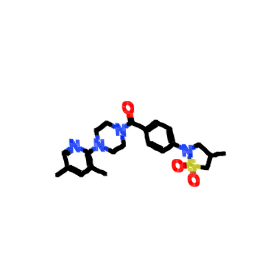 Cc1cnc(N2CCN(C(=O)c3ccc(N4CC(C)CS4(=O)=O)cc3)CC2)c(C)c1